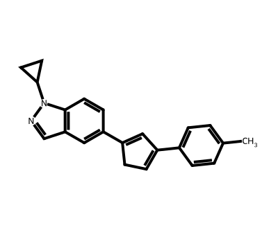 Cc1ccc(C2=CCC(c3ccc4c(cnn4C4CC4)c3)=C2)cc1